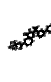 CC(C)(C)OC(=O)N1CCCc2nc(C3(c4cncc(C5CCCCC5)c4)CC3)[nH]c(=O)c2C1